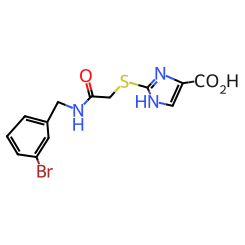 O=C(CSc1nc(C(=O)O)c[nH]1)NCc1cccc(Br)c1